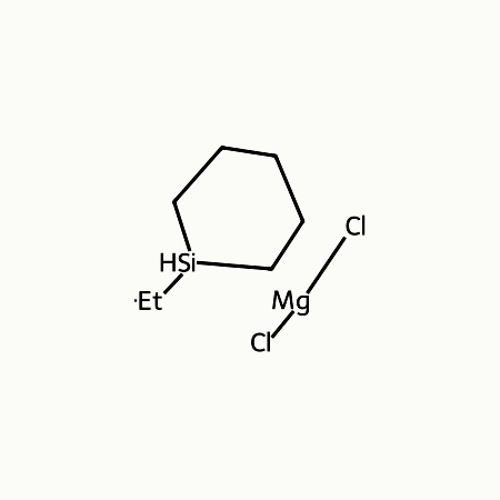 C[CH][SiH]1CCCCC1.[Cl][Mg][Cl]